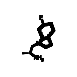 C[C@@H](N)Cn1ccc2ccc(F)cc21